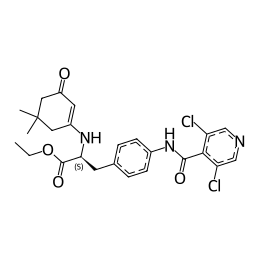 CCOC(=O)[C@H](Cc1ccc(NC(=O)c2c(Cl)cncc2Cl)cc1)NC1=CC(=O)CC(C)(C)C1